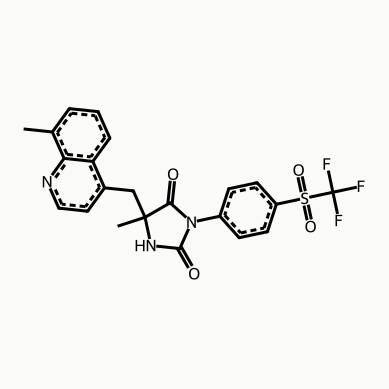 Cc1cccc2c(CC3(C)NC(=O)N(c4ccc(S(=O)(=O)C(F)(F)F)cc4)C3=O)ccnc12